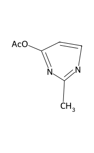 CC(=O)Oc1ccnc(C)n1